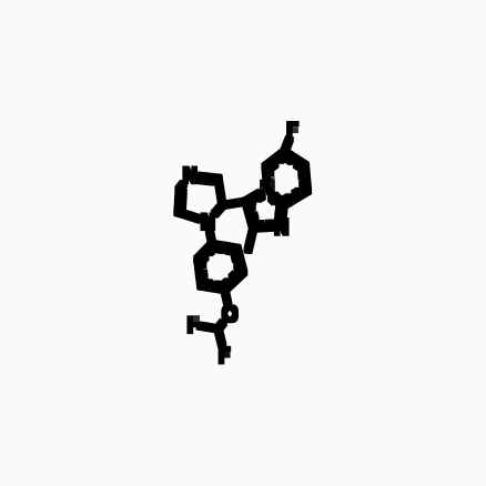 Cc1nc2ccc(F)cn2c1C1C=NC=CN1c1ccc(OC(F)F)cc1